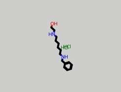 Cl.Cl.OCCNCCCCCCNCc1ccccc1